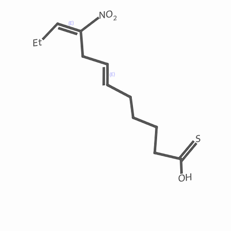 CC/C=C(\C/C=C/CCCCC(O)=S)[N+](=O)[O-]